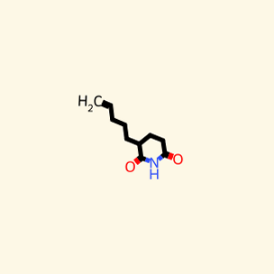 C=CCCCC1CCC(=O)NC1=O